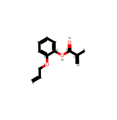 C=CCOc1ccccc1OC(=O)C(=C)C